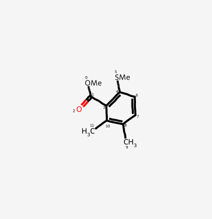 COC(=O)c1c(SC)ccc(C)c1C